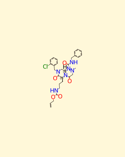 C=CCOC(=O)NCCC[C@H]1C(=O)N(Cc2ccccc2Cl)C[C@H]2N1C(=O)CN(C)N2C(=O)NCc1ccccc1